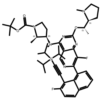 CC(C)[Si](C#Cc1c(F)ccc2cccc(-c3ncc4c(N(C)[C@@H]5CCN(C(=O)OC(C)(C)C)[C@@H]5C)nc(O[C@@H](C)[C@@H]5CCCN5C)nc4c3F)c12)(C(C)C)C(C)C